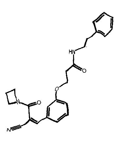 N#CC(=Cc1cccc(OCCC(=O)N[CH]Cc2ccccc2)c1)C(=O)N1CCC1